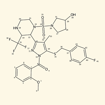 COc1ccccc1C(=O)n1nc(C2C(C(F)(F)F)NCCN2S(=O)(=O)N2CCC(O)C2)c(C)c1SCc1ccc(F)cc1